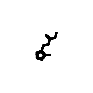 CCC(=O)CCc1ccsc1C